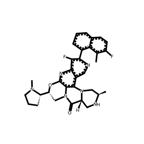 Cc1c(F)ccc2cccc(-c3ncc4c5c6c(nc4c3F)O[C@@H]([C@@H]3CCCN3C)CN6C(=O)[C@H]3CN[C@H](C)CN53)c12